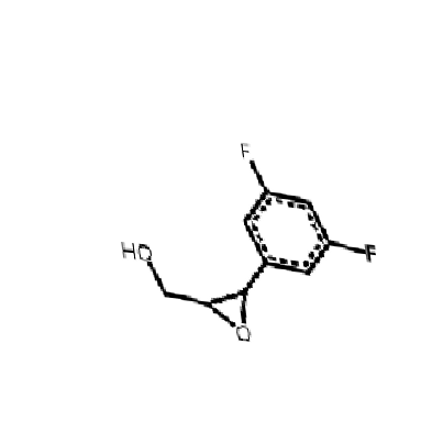 OCC1OC1c1cc(F)cc(F)c1